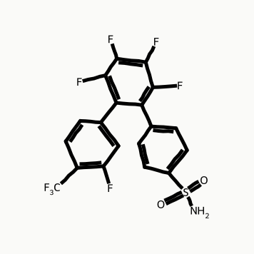 NS(=O)(=O)c1ccc(-c2c(F)c(F)c(F)c(F)c2-c2ccc(C(F)(F)F)c(F)c2)cc1